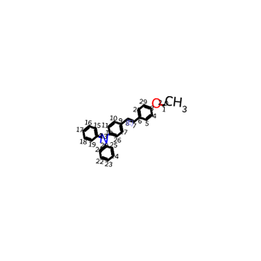 CCOc1ccc(/C=C/c2ccc(N(c3ccccc3)c3ccccc3)cc2)cc1